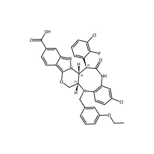 CCOc1cccc(CN2c3ccc(Cl)cc3NC(=O)[C@H](c3cccc(Cl)c3F)[C@@H]3[C@H]2COc2c4ccc(C(=O)O)cc4nn23)c1